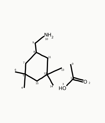 CC(=O)O.CC1(C)CC(CN)CC(C)(C)C1